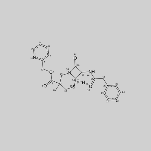 CC1(C(=O)OCc2ccccn2)CS[C@@H]2C(NC(=O)Cc3ccccc3)C(=O)N2C1